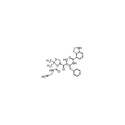 C#CCNC(=O)[C@H]1N(C(=O)[C@@H](O)[C@H](Cc2ccccc2)NC(=O)c2cccc3c2CCN3)CSC1(C)C